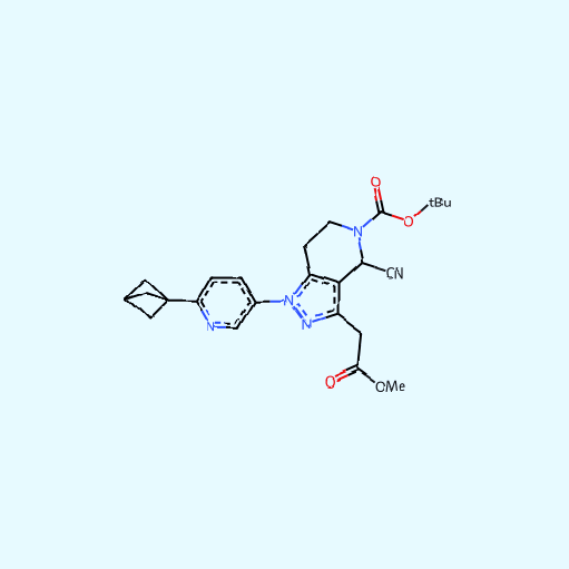 COC(=O)Cc1nn(-c2ccc(C34CC(C3)C4)nc2)c2c1C(C#N)N(C(=O)OC(C)(C)C)CC2